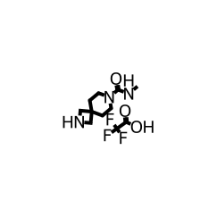 CNC(=O)N1CCC2(CC1)CNC2.O=C(O)C(F)(F)F